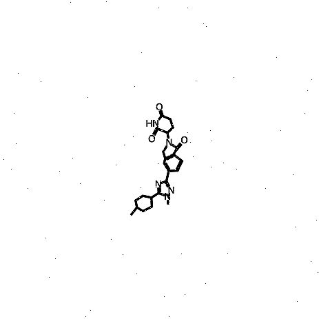 CC1CCC(c2nc(-c3ccc4c(c3)CN(C3CCC(=O)NC3=O)C4=O)nn2C)CC1